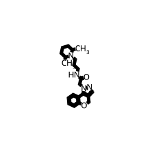 CC1CCCC(C)N1CCCNC(=O)Cn1ncc2c1-c1ccccc1OC2